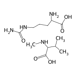 CNC(C(=O)O)C(C)C.NC(=O)NCCCC(N)C(=O)O